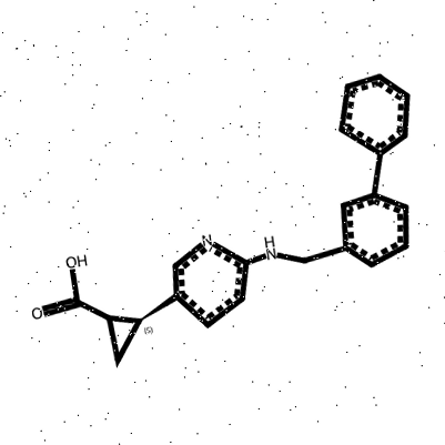 O=C(O)C1C[C@@H]1c1ccc(NCc2cccc(-c3ccccc3)c2)nc1